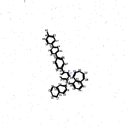 C=C(/C=C\C(=C/C)N(c1ccc2c(c1)C=CCC2)c1cccc2c1C=CCC=C2)c1ccc(-c2ccc(-c3ccc(C)cc3)cc2)cc1